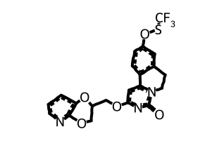 O=c1nc(OCC2COc3ncccc3O2)cc2n1CCc1cc(OSC(F)(F)F)ccc1-2